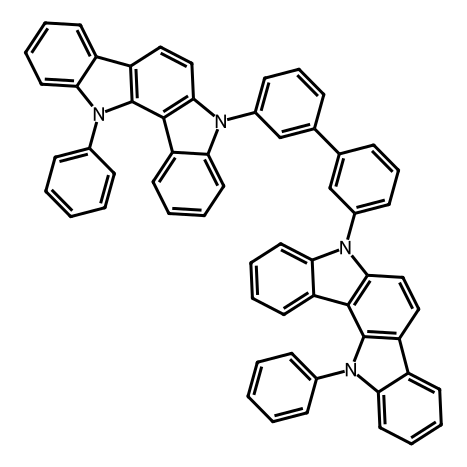 c1ccc(-n2c3ccccc3c3ccc4c(c5ccccc5n4-c4cccc(-c5cccc(-n6c7ccccc7c7c6ccc6c8ccccc8n(-c8ccccc8)c67)c5)c4)c32)cc1